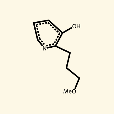 COCCCc1ncccc1O